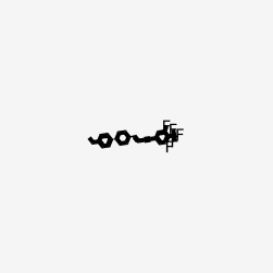 CCc1ccc([C@H]2CC[C@H](/C=C/C#Cc3cc(F)c(C(F)(F)F)c(F)c3)CC2)cc1